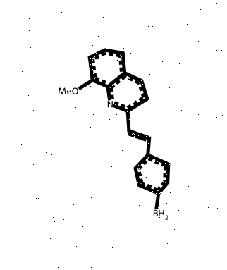 Bc1ccc(/C=C/c2ccc3cccc(OC)c3n2)cc1